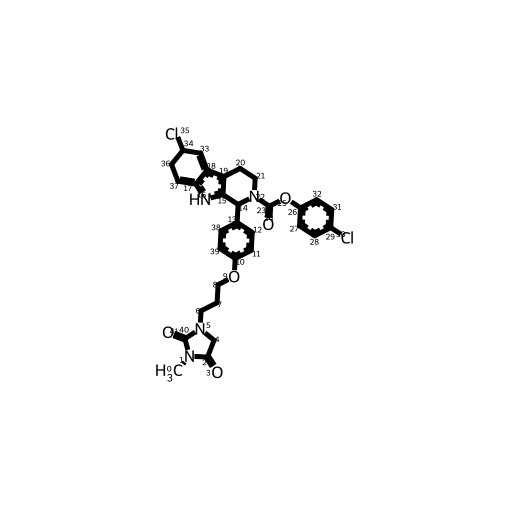 CN1C(=O)CN(CCCOc2ccc(C3c4[nH]c5c(c4CCN3C(=O)Oc3ccc(Cl)cc3)=CC(Cl)CC=5)cc2)C1=O